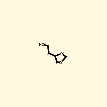 OCCC1CSCO1